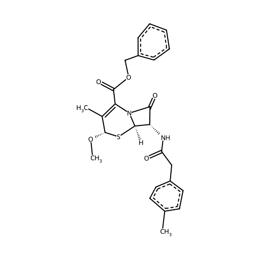 CO[C@H]1S[C@@H]2[C@@H](NC(=O)Cc3ccc(C)cc3)C(=O)N2C(C(=O)OCc2ccccc2)=C1C